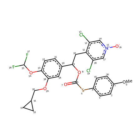 COc1ccc(SC(=O)OC(Cc2c(Cl)c[n+]([O-])cc2Cl)c2ccc(OC(F)F)c(OCC3CC3)c2)cc1